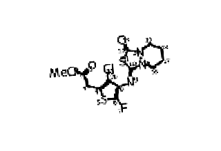 COC(=O)Cc1sc(F)c(N=c2sc(=O)n3n2CCCC3)c1Cl